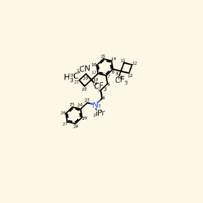 CC#N.CC(C)N(CCCc1c(C2(C(F)(F)F)CCC2)cccc1C1(C(F)(F)F)CCC1)Cc1ccccc1